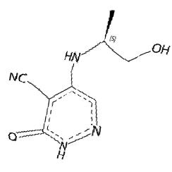 C[C@@H](CO)Nc1cn[nH]c(=O)c1C#N